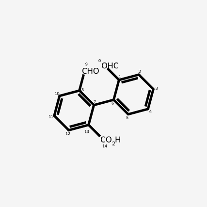 O=Cc1ccccc1-c1c(C=O)cccc1C(=O)O